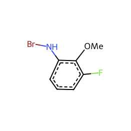 COc1c(F)cccc1NBr